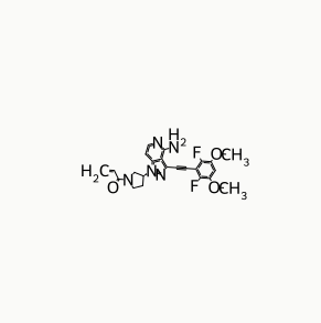 C=CC(=O)N1CC[C@H](n2nc(C#Cc3c(F)c(OC)cc(OC)c3F)c3c(N)nccc32)C1